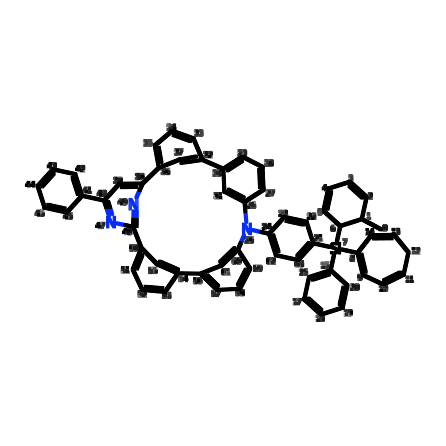 CC1C=CC=CC1[Si](C1=CC=CCC=C1)(c1ccccc1)c1ccc(N2c3cccc(c3)-c3cccc(c3)-c3cc(-c4ccccc4)nc(n3)-c3cccc(c3)-c3cccc2c3)cc1